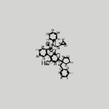 O=c1oc(C2(Cc3ccccc3)CCCC2)cc(O)c1-c1ccccc1S(=O)(=O)N(CC1CC1)c1ccccc1